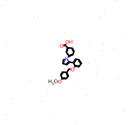 COc1ccc(COc2ccccc2-c2cccn2-c2cccc(C(=O)O)c2)cc1